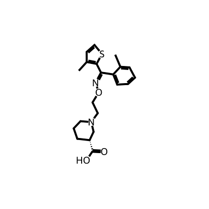 Cc1ccccc1/C(=N\OCCN1CCC[C@@H](C(=O)O)C1)c1sccc1C